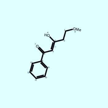 COCC/C(O)=C/C(=O)c1ccccc1